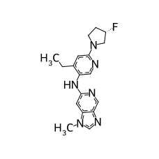 CCc1cc(N2CC[C@H](F)C2)ncc1Nc1cc2c(cn1)ncn2C